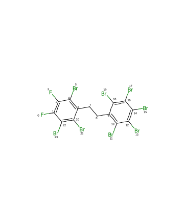 Fc1c(F)c(Br)c(CCc2c(Br)c(Br)c(Br)c(Br)c2Br)c(Br)c1Br